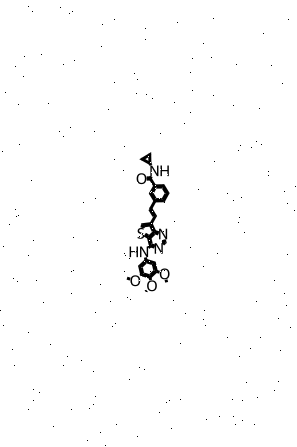 COc1cc(Nc2ncnc3c(/C=C/c4cccc(C(=O)NC5CC5)c4)csc23)cc(OC)c1OC